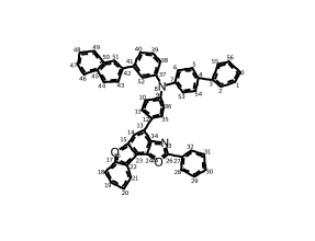 c1ccc(-c2ccc(N(c3ccc(-c4cc5oc6ccccc6c5c5oc(-c6ccccc6)nc45)cc3)c3cccc(-c4ccc5ccccc5c4)c3)cc2)cc1